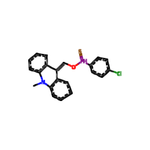 CN1c2ccccc2C(=CO[PH](=S)c2ccc(Cl)cc2)c2ccccc21